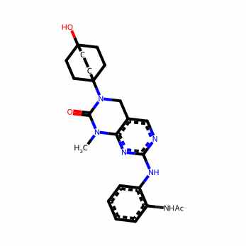 CC(=O)Nc1ccccc1Nc1ncc2c(n1)N(C)C(=O)N(C13CCC(O)(CC1)CC3)C2